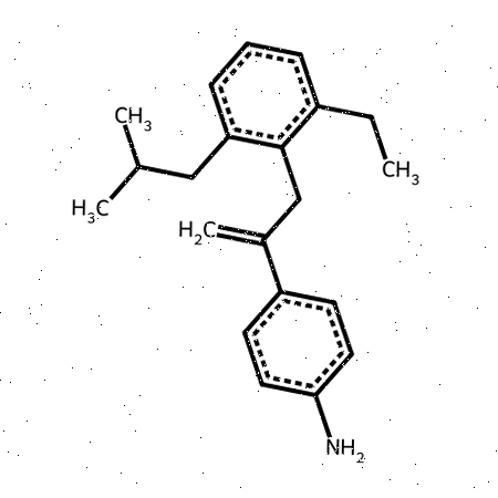 C=C(Cc1c(CC)cccc1CC(C)C)c1ccc(N)cc1